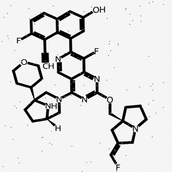 C#Cc1c(F)ccc2cc(O)cc(-c3ncc4c(N5C[C@@H]6CC[C@](C7CCOCC7)(C5)N6)nc(OC[C@@]56CCCN5C/C(=C\F)C6)nc4c3F)c12